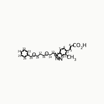 Cc1c(C=CC(=O)O)ccc2c1nnn2CCOCCCOCc1ccccc1